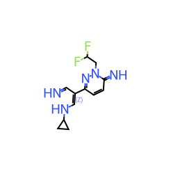 N=C/C(=C\NC1CC1)c1ccc(=N)n(CC(F)F)n1